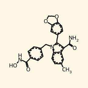 Cc1ccc2c(c1)c(C(N)=O)c(-c1ccc3c(c1)OCO3)n2Cc1ccc(C(=O)NO)cc1